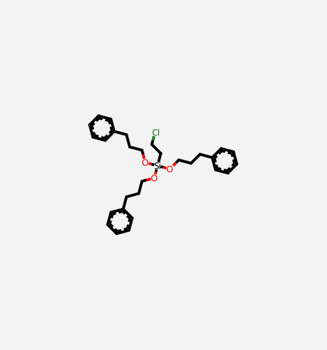 ClCC[Si](OCCCc1ccccc1)(OCCCc1ccccc1)OCCCc1ccccc1